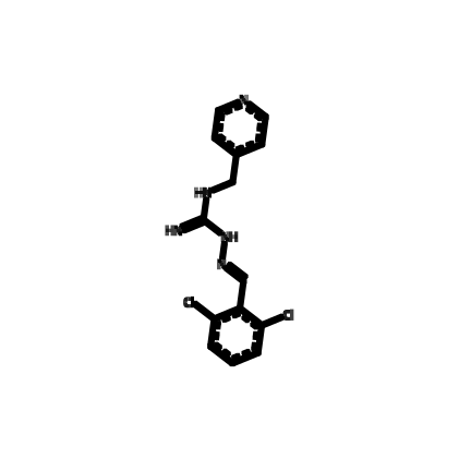 N=C(NCc1ccncc1)N/N=C/c1c(Cl)cccc1Cl